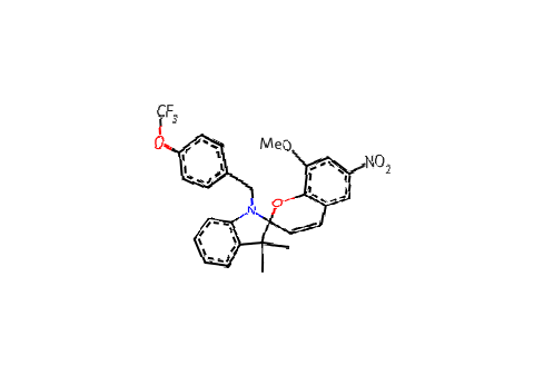 COc1cc([N+](=O)[O-])cc2c1OC1(C=C2)N(Cc2ccc(OC(F)(F)F)cc2)c2ccccc2C1(C)C